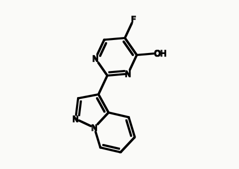 Oc1nc(-c2cnn3ccccc23)ncc1F